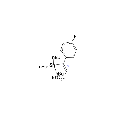 CCC[CH2][Sn]([CH2]CCC)([CH2]CCC)/[C](=C\C(=O)OCC)c1ccc(F)cc1